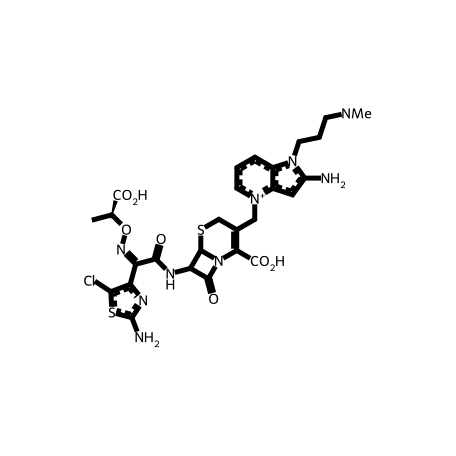 CNCCCn1c(N)cc2c1ccc[n+]2CC1=C(C(=O)O)N2C(=O)C(NC(=O)/C(=N\O[C@@H](C)C(=O)O)c3nc(N)sc3Cl)C2SC1